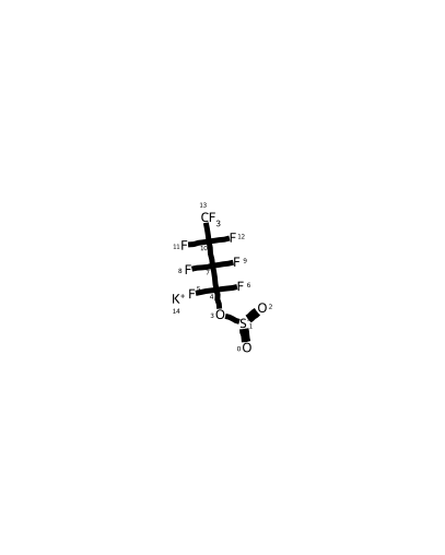 O=[S-](=O)OC(F)(F)C(F)(F)C(F)(F)C(F)(F)F.[K+]